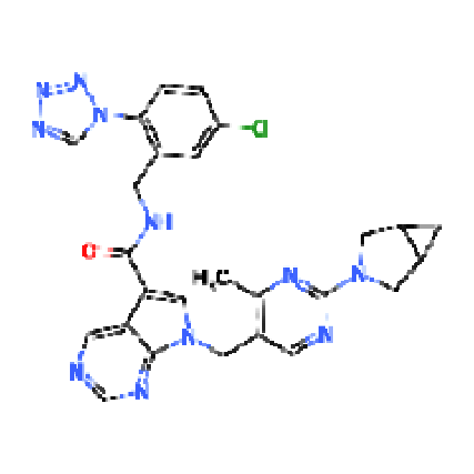 Cc1nc(N2CC3CC3C2)ncc1Cn1cc(C(=O)NCc2cc(Cl)ccc2-n2cnnn2)c2cncnc21